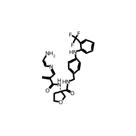 C=C(/C=N\C=C/N)C(=O)N[C@@]1(C(=O)NCc2ccc(Nc3ccccc3C(F)(F)F)cc2)CCOC1